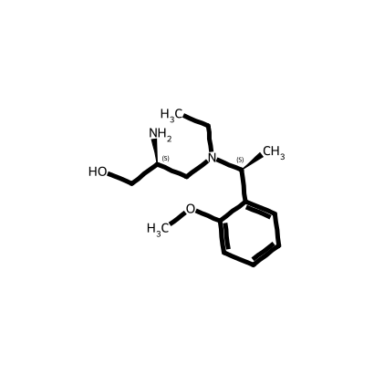 CCN(C[C@H](N)CO)[C@@H](C)c1ccccc1OC